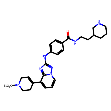 CCOC(=O)N1CC=C(c2cccn3nc(Nc4ccc(C(=O)NCCC5CCCNC5)cc4)nc23)CC1